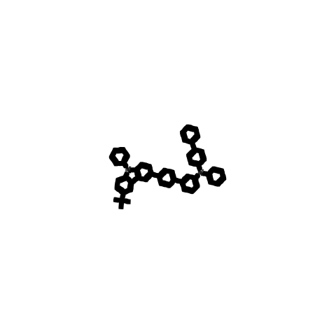 CC(C)(C)c1ccc2c(c1)c1cc(-c3ccc(-c4cccc(N(c5ccccc5)c5ccc(-c6ccccc6)cc5)c4)cc3)ccc1n2-c1ccccc1